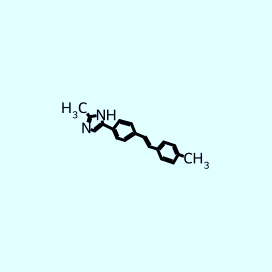 Cc1ccc(/C=C/c2ccc(-c3cnc(C)[nH]3)cc2)cc1